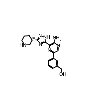 Nc1ncc(-c2cccc(CO)c2)nc1-c1nc([C@@H]2CCCNC2)n[nH]1